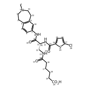 CN1CCc2ccc(NC(=O)[C@@H](CNC(=O)CCCCC(=O)O)NC(=O)c3ccc(Cl)s3)cc2CC1